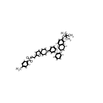 Cc1ccc(S(=O)(=O)OCC2CCC3(CCN(c4ccc([C@@H]5c6ccc(OC(C)(C)C)cc6CC[C@@H]5c5ccccc5)cc4)CC3)O2)cc1